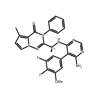 COc1cc(-c2c(N)ncnc2N[C@@H](C)c2nn3ccc(C)c3c(=O)n2-c2ccccc2)cc(F)c1F